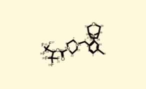 Cc1ccc(CN2CCN(C(=O)OC(C(F)(F)F)C(F)(F)F)CC2)c(N2C3CCC2COC3)c1